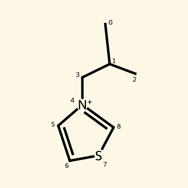 CC(C)C[n+]1ccsc1